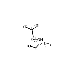 CC(C)CO.CO.ClC(Cl)Cl.O